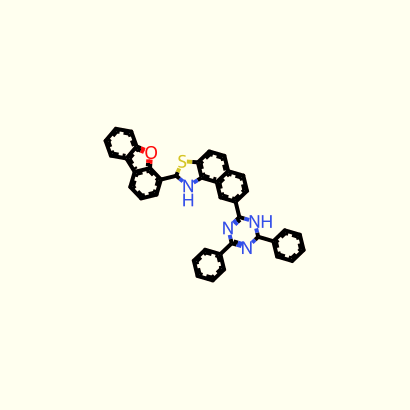 c1ccc(C2=NC(c3ccccc3)NC(c3ccc4ccc5c(c4c3)NC(c3cccc4c3oc3ccccc34)S5)=N2)cc1